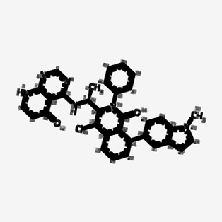 C[C@H](Nc1ncnc2[nH]ccc(=O)c12)c1c(Cl)c2cccc(-c3ccc4c(ccn4C)c3)c2c(=O)n1-c1ccccc1